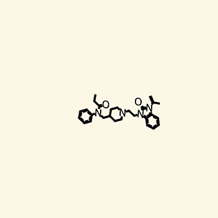 C=C(C)n1c(=O)n(CCN2CCC(CN(C(=O)CC)c3ccccc3)CC2)c2ccccc21